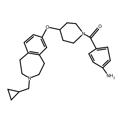 Nc1ccc(C(=O)N2CCC(Oc3ccc4c(c3)CCN(CC3CC3)CC4)CC2)cc1